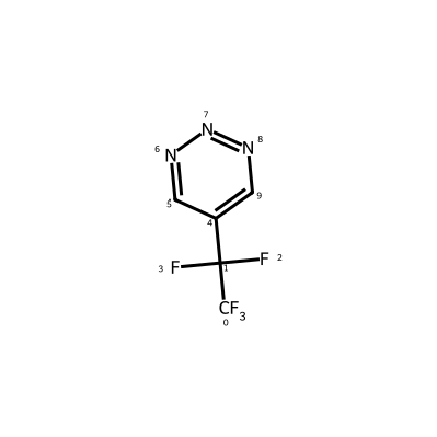 FC(F)(F)C(F)(F)c1[c]nnnc1